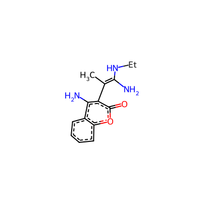 CCN/C(N)=C(\C)c1c(N)c2ccccc2oc1=O